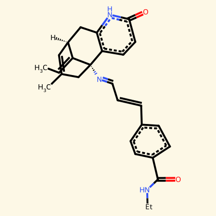 C/C=C1\[C@H]2C=C(C)C[C@]1(/N=C/C=C/c1ccc(C(=O)NCC)cc1)c1ccc(=O)[nH]c1C2